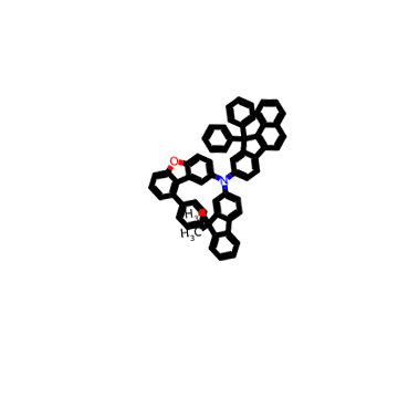 CC1(C)c2ccccc2-c2ccc(N(c3ccc4c(c3)C(c3ccccc3)(c3ccccc3)c3c-4ccc4ccccc34)c3ccc4oc5cccc(-c6ccccc6)c5c4c3)cc21